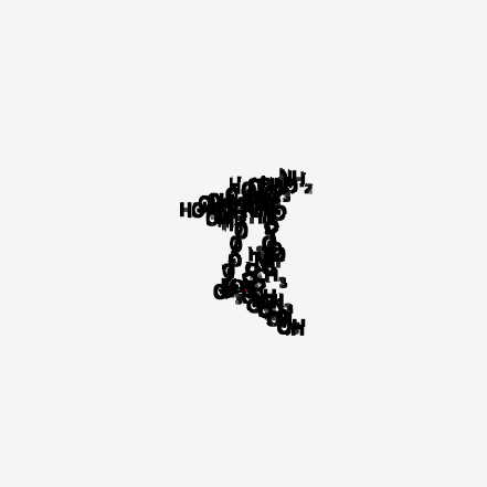 CC(C)[C@H](NC(=O)[C@@H](CCC(=O)NC[C@H](O)[C@@H](O)[C@H](O)[C@H](O)CO)NC(=O)CCOCCOCCOCCOCCN1C(=O)C=CC1=O)C(=O)N[C@@H](CCCNC(N)=O)C(=O)Nc1ccc(COC(=O)N[C@@H](C=O)C(=O)Nc2ccc3c(c2)[C@@]2(C)CCC[C@](C)(C(=O)NC(=O)[C@@]4(C)CCC[C@]5(C)c6cc(O)ccc6CC[C@@H]45)[C@@H]2CC3)cc1